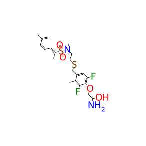 C=C(C)/C=C\C=C(/C)S(=O)(=O)N(C)CCSCC1=CC(F)=C(OCC(N)O)C(F)C1C